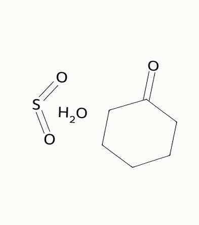 O.O=C1CCCCC1.O=S=O